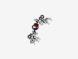 COC(=O)NC(C(=O)N1C2CCCCC2C[C@H]1c1nc(-c2ccc(-c3cc4c(-c5c[nH]c([C@@H]6CC7CCCCC7N6C(=O)C(NC(=O)OC)C(C)C)n5)cc3CCc3ccc(cc3)CC4)cc2)c[nH]1)C(C)C